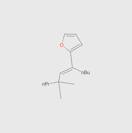 CCCC/C(=C\C(C)(C)CCC)c1ccco1